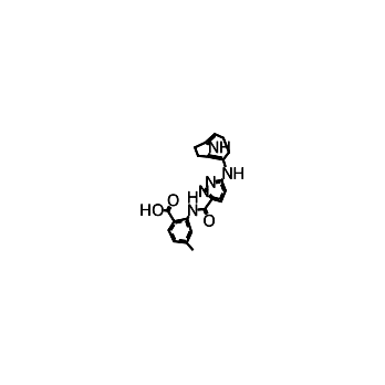 Cc1ccc(C(=O)O)c(NC(=O)c2ccc(NC3=C4CCC(=CCC3)N4)nn2)c1